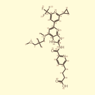 COCC(C)(C)CN(C)c1cc(-c2cc(C3CC3)nc(C(F)(F)F)c2)nc2nc(NC(=O)c3ccc(CCCC(=O)O)cn3)[nH]c12